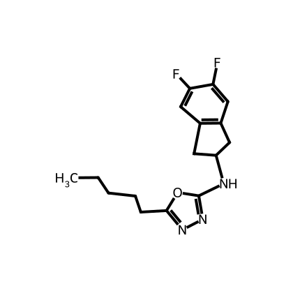 CCCCCc1nnc(NC2Cc3cc(F)c(F)cc3C2)o1